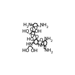 NC[C@@H]1CC[C@@H](N)[C@@H](O[C@H]2[C@H](O[C@@H]3O[C@H](CO)[C@@H](O[C@H]4O[C@@H](CN)CC[C@H]4N)[C@H]3O)[C@@H](O)[C@H](NC(CO)CO)C[C@@H]2N)O1